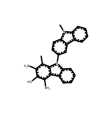 Bc1c(O)c(B)c2c3ccccc3n(-c3ccc4c(c3)c3ccccc3n4C)c2c1C